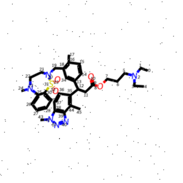 CCN(CC)CCCOC(=O)CC(c1ccc(C)c(CN2CCN(C)c3ccccc3S2(=O)=O)c1)c1ccc2c(nnn2C)c1C